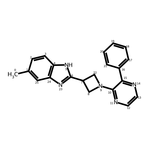 Cc1ccc2[nH]c(C3CN(c4nccnc4-c4ccccc4)C3)nc2c1